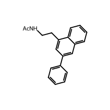 CC(=O)NCCc1cc(-c2ccccc2)cc2ccccc12